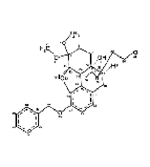 COC1(OC)CC[C@@]2(O)[C@H]3Cc4ccc(OCc5ccccc5)c5c4[C@@]2(CCN3CCCl)[C@H]1O5